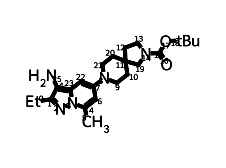 CCc1nn2c(C)cc(N3CCC4(CCN(C(=O)OC(C)(C)C)C4)CC3)cc2c1N